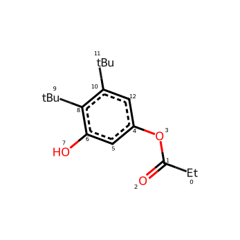 CCC(=O)Oc1cc(O)c(C(C)(C)C)c(C(C)(C)C)c1